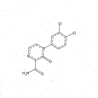 NC(=O)c1nccn(-c2ccc(Cl)c(Cl)c2)c1=O